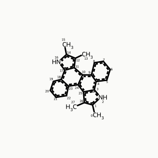 Cc1[nH]c2c3ccccc3c3c4c(C)c(C)[nH]c4c4ccccc4c3c2c1C